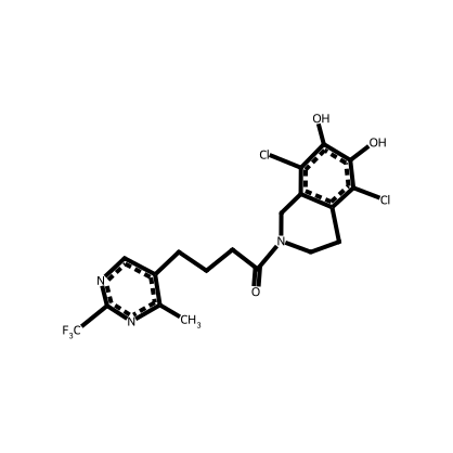 Cc1nc(C(F)(F)F)ncc1CCCC(=O)N1CCc2c(Cl)c(O)c(O)c(Cl)c2C1